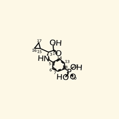 O=C(O)[C@@H](Nc1ccc(P(=O)(O)O)cc1)C1CC1